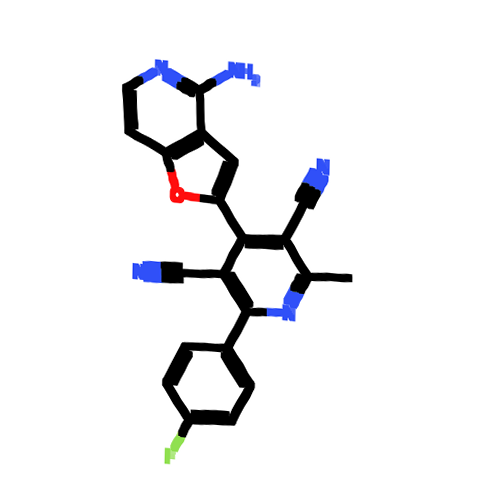 Cc1nc(-c2ccc(F)cc2)c(C#N)c(-c2cc3c(N)nccc3o2)c1C#N